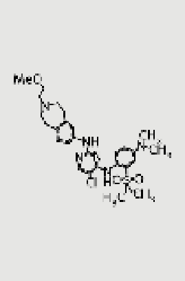 COCCN1CCc2ccc(Nc3ncc(Cl)c(Nc4ccc(N(C)C)cc4S(=O)(=O)N(C)C)n3)cc2CC1